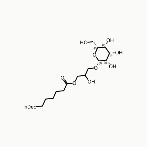 CCCCCCCCCCCCCCCC(=O)OCC(O)CO[C@@H]1O[C@H](CO)[C@H](O)[C@H](O)[C@@H]1O